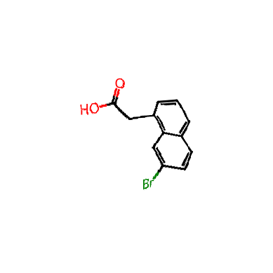 O=C(O)Cc1cccc2ccc(Br)cc12